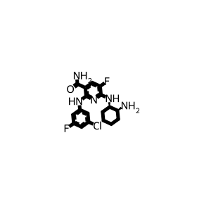 NC(=O)c1cc(F)c(N[C@@H]2CCCC[C@@H]2N)nc1Nc1cc(F)cc(Cl)c1